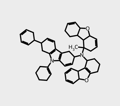 CC1(N(C2C=Cc3c(c4c(n3C3=CCCCC3)CC(C3C=CC=CC3)C=C4)C2)C2CCCC3=C2C2C=CC=CC2O3)CC=CC2OC3C=CCCC3C21